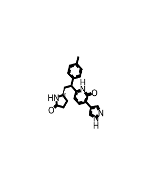 Cc1ccc(C(C[C@H]2CCC(=O)N2)c2ccc(-c3cn[nH]c3)c(=O)[nH]2)cc1